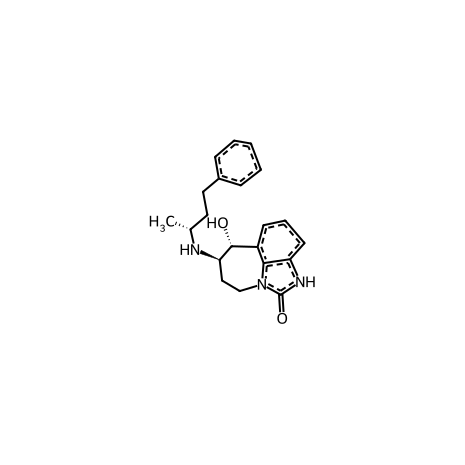 C[C@H](CCc1ccccc1)N[C@@H]1CCn2c(=O)[nH]c3cccc(c32)[C@H]1O